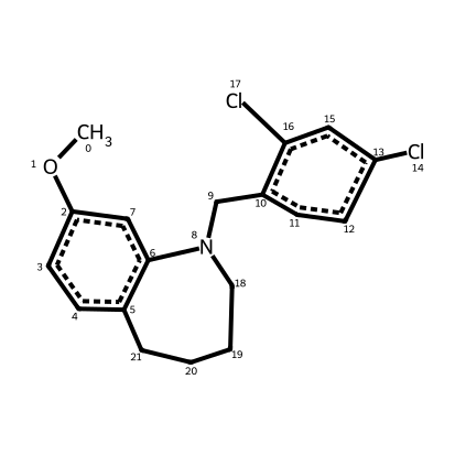 COc1ccc2c(c1)N(Cc1ccc(Cl)cc1Cl)CCCC2